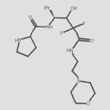 CC(C)[C@H](NC(=O)C1CCCN1)C(O)C(F)(F)C(=O)NCCN1CCOCC1